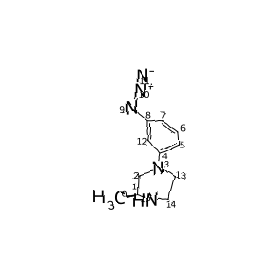 C[C@H]1CN(c2cccc(N=[N+]=[N-])c2)CCN1